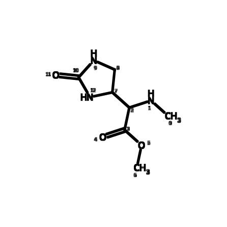 CNC(C(=O)OC)C1CNC(=O)N1